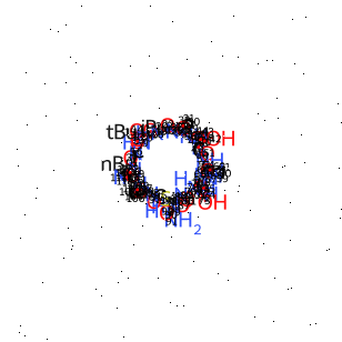 CCCC[C@H]1C(=O)N(C)CC(=O)N[C@@H](CC(=O)OC(C)(C)C)C(=O)N[C@@H](C(C)C)C(=O)N(C)[C@@H](Cc2ccccc2)C(=O)N[C@@H](Cc2ccc(O)cc2)C(=O)N(C)CC(=O)N[C@@H](Cc2c[nH]c3ccccc23)C(=O)N[C@@H](Cc2ccc(O)cc2)C(=O)N[C@@H](CC(C)C)C(=O)N[C@H](C(=O)NCC(N)=O)CSCC(=O)N[C@@H](Cc2ccccc2)C(=O)N(C)[C@@H](Cc2cccnc2)C(=O)N1C